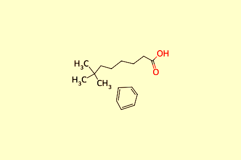 CC(C)(C)CCCCCC(=O)O.c1ccccc1